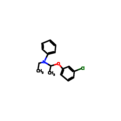 CCN(c1ccccc1)C(C)Oc1cccc(Cl)c1